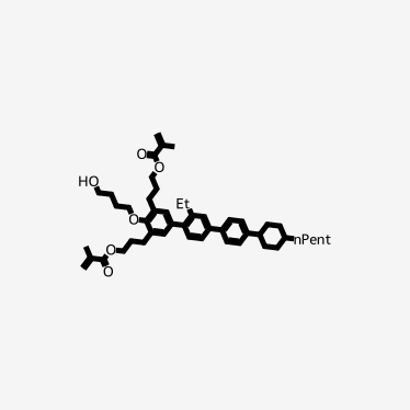 C=C(C)C(=O)OCCCc1cc(-c2ccc(-c3ccc(C4CCC(CCCCC)CC4)cc3)cc2CC)cc(CCCOC(=O)C(=C)C)c1OCCCCO